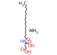 CCCCCCCCCCCCCCCCCC(=O)N[C@H](CCC(=O)O)C(=O)O.[AlH3]